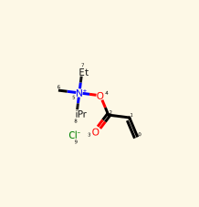 C=CC(=O)O[N+](C)(CC)C(C)C.[Cl-]